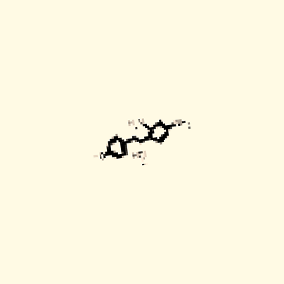 Cl.Cl.Nc1ccc(CCc2ccc(O)cc2)c(N)c1